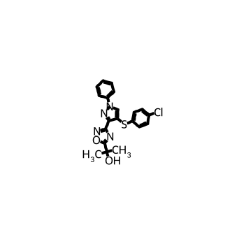 CC(C)(O)c1nc(-c2nn(-c3ccccc3)cc2Sc2ccc(Cl)cc2)no1